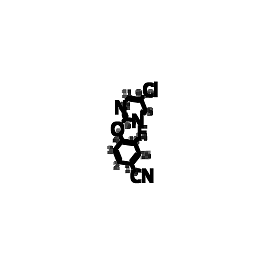 N#Cc1ccc(Oc2ncc(Cl)cn2)c(F)c1